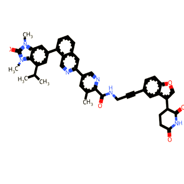 Cc1cc(-c2cc3cccc(-c4cc(C(C)C)c5c(c4)n(C)c(=O)n5C)c3cn2)cnc1C(=O)NCC#Cc1ccc2occ(C3CCC(=O)NC3=O)c2c1